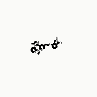 CCN1c2ncc(CCOc3cccc4c3CNC4=O)cc2-c2ncc(C)n2-c2cccnc21